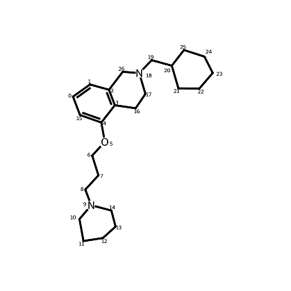 c1cc2c(c(OCCCN3CCCCC3)c1)CCN(CC1CCCCC1)C2